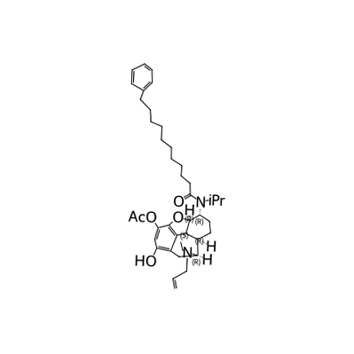 C=CCN1CC[C@]23c4c5c(O)cc(OC(C)=O)c4O[C@H]2[C@H](N(C(=O)CCCCCCCCCCc2ccccc2)C(C)C)CC[C@H]3[C@H]1C5